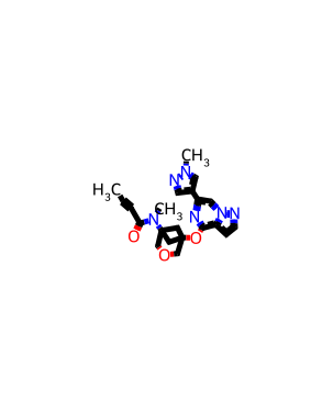 CC#CC(=O)N(C)C12COCC(Oc3nc(-c4cnn(C)c4)cn4nccc34)(C1)C2